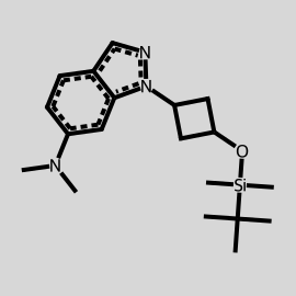 CN(C)c1ccc2cnn(C3CC(O[Si](C)(C)C(C)(C)C)C3)c2c1